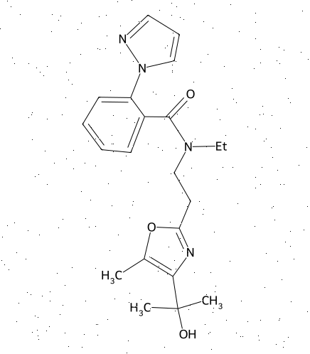 CCN(CCc1nc(C(C)(C)O)c(C)o1)C(=O)c1ccccc1-n1cccn1